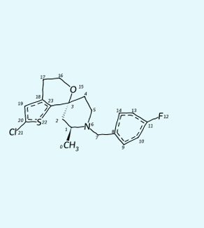 C[C@H]1C[C@@]2(CCN1Cc1ccc(F)cc1)OCCc1cc(Cl)sc12